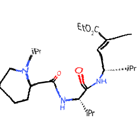 CCOC(=O)/C(C)=C/[C@@H](NC(=O)[C@@H](NC(=O)C1CCCCN1C(C)C)C(C)C)C(C)C